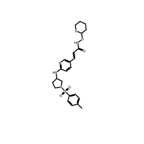 Cc1ccc(S(=O)(=O)N2CCC(Nc3ccc(/C=C/C(=O)NOC4CCCCO4)cn3)C2)cc1